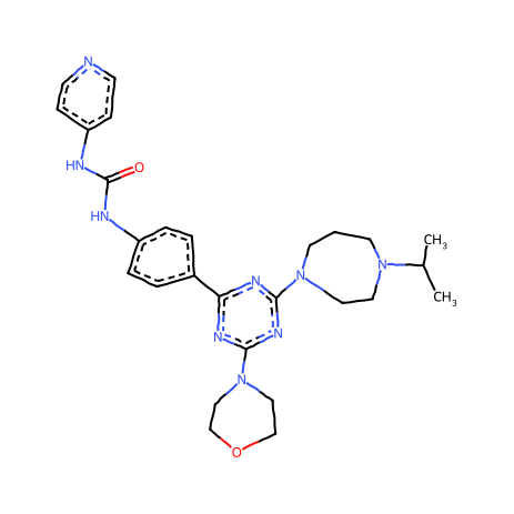 CC(C)N1CCCN(c2nc(-c3ccc(NC(=O)Nc4ccncc4)cc3)nc(N3CCOCC3)n2)CC1